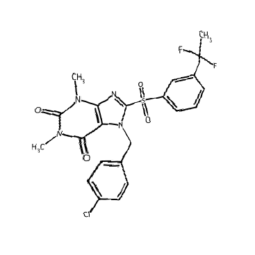 Cn1c(=O)c2c(nc(S(=O)(=O)c3cccc(C(C)(F)F)c3)n2Cc2ccc(Cl)cc2)n(C)c1=O